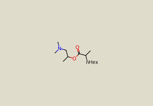 CCCCCCC(C)C(=O)OC(C)CN(C)C